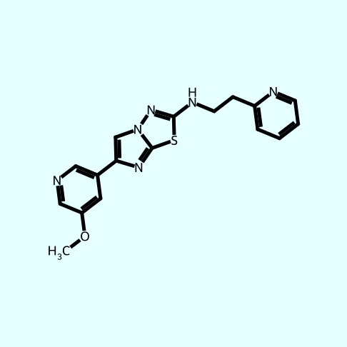 COc1cncc(-c2cn3nc(NCCc4ccccn4)sc3n2)c1